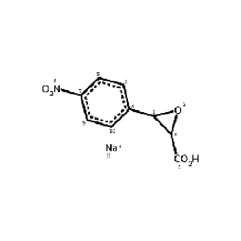 O=C(O)C1OC1c1ccc([N+](=O)[O-])cc1.[Na+]